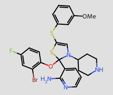 COc1cccc(SC2=CN(C3CCNCC3)C(Oc3ccc(F)cc3Br)(c3cccnc3N)S2)c1